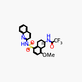 COc1ccc(S(=O)(=O)Nc2ccc3ccccc3n2)c2c1C[C@@H](NC(=O)C(F)(F)F)CC2